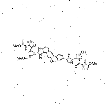 CCC(C)[C@H](NC(=O)OC)C(=O)N1C[C@@H](C)CC1c1ncc(-c2ccc3c(c2)COc2cc4c(ccc5nc([C@@H]6C[C@H](COC)CN6C(=O)C(NC(=O)OC)[C@@H](C)CC)[nH]c54)cc2-3)[nH]1